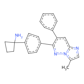 Cc1cnc2cc(-c3ccccc3)c(-c3ccc(C4(N)CCC4)cc3)nn12